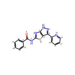 O=C(Nc1nc2[nH]nc(-c3ccccn3)c2s1)c1ccccc1